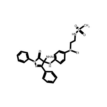 CCN(CCNS(C)(=O)=O)c1ccc(NC2(NC(C)=O)C(=O)N(c3ccccc3)N=C2c2ccccc2)cc1